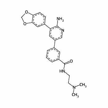 CN(C)CCNC(=O)c1cccc(-c2cnc(N)c(-c3ccc4c(c3)OCO4)c2)c1